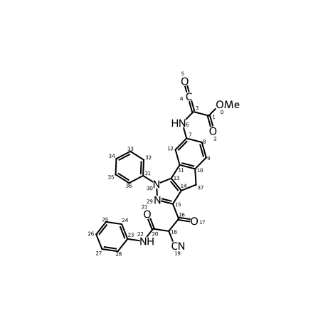 COC(=O)C(=C=O)Nc1ccc2c(c1)-c1c(c(C(=O)C(C#N)C(=O)Nc3ccccc3)nn1-c1ccccc1)C2